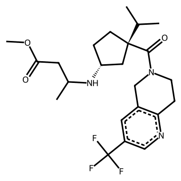 COC(=O)CC(C)N[C@@H]1CC[C@@](C(=O)N2CCc3ncc(C(F)(F)F)cc3C2)(C(C)C)C1